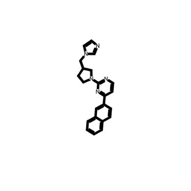 c1ccc2cc(-c3ccnc(N4CCC(Cn5ccnc5)C4)n3)ccc2c1